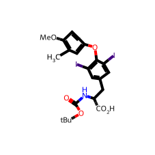 COc1ccc(Oc2c(I)cc(CC(NC(=O)OC(C)(C)C)C(=O)O)cc2I)cc1C